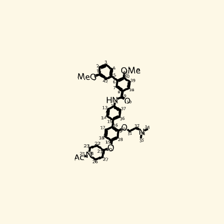 COc1cccc(-c2cc(C(=O)Nc3ccc(-c4ccc(OC5CCN(C(C)=O)CC5)cc4OCCN(C)C)cc3)ccc2OC)c1